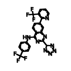 FC(F)(F)c1ccc(Nc2nc(C3N=NN=N3)nc3cc(-c4ncccc4C(F)(F)F)ccc23)cc1